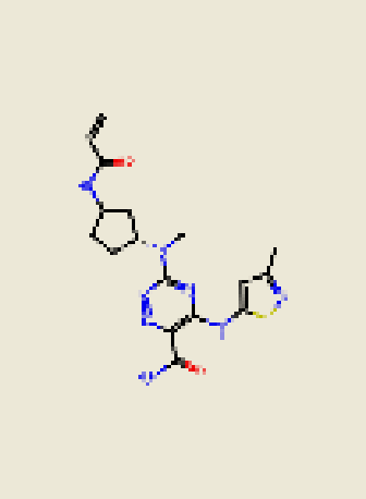 C=CC(=O)NC1CC[C@@H](N(C)c2nnc(C(N)=O)c(Nc3cc(C)ns3)n2)C1